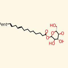 CCCCC/C=C/C/C=C/CCCCCCCC(=O)OC1O[C@H](CO)[C@@H](O)[C@H](O)[C@H]1O